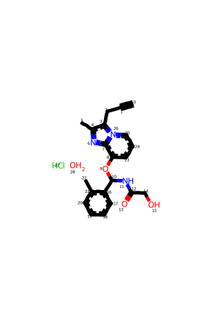 C#CCc1c(C)nc2c(OC(NC(=O)CO)c3ccccc3C)cccn12.Cl.O